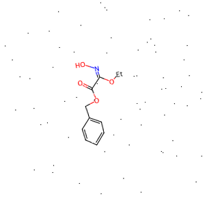 CCO/C(=N/O)C(=O)OCc1ccccc1